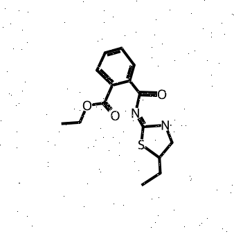 CCOC(=O)c1ccccc1C(=O)N=C1[N]CC(CC)S1